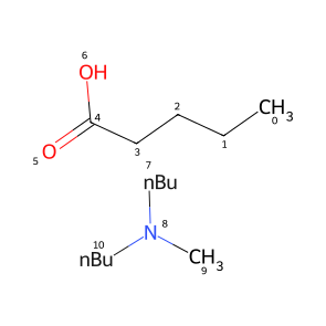 CCCCC(=O)O.CCCCN(C)CCCC